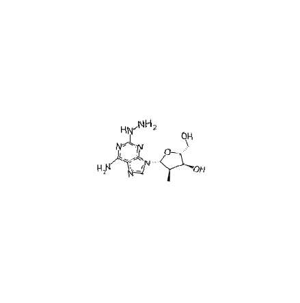 C[C@@H]1[C@H](O)[C@@H](CO)O[C@H]1n1cnc2c(N)nc(NN)nc21